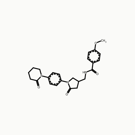 COc1ccc(C(=O)NCC2CC(=O)N(c3ccc(N4CCCCC4=O)cc3)C2)cc1